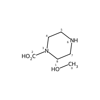 CO.O=C(O)N1CCNCC1